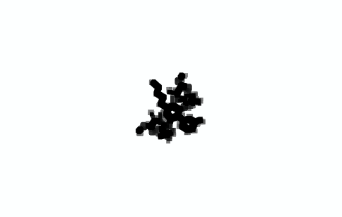 CCCCCc1cc(OP(=O)(N[C@@H](C)C(=O)OC)C(C)(F)F)c(-c2cccc(C)c2)c(OP(=O)(N[C@@H](C)C(=O)OC)C(C)(F)F)c1